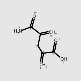 C=C(CC(=C)C(=O)O)C(N)=O